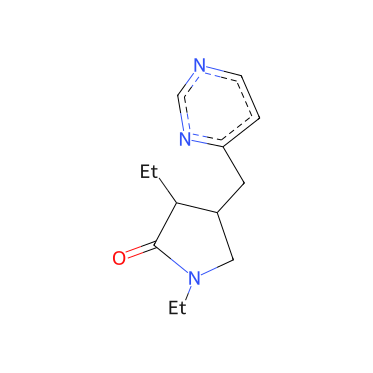 CCC1C(=O)N(CC)CC1Cc1ccncn1